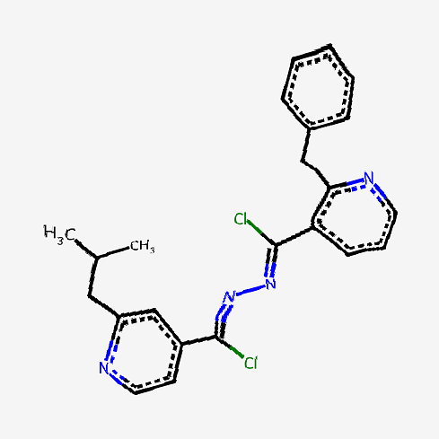 CC(C)Cc1cc(/C(Cl)=N/N=C(\Cl)c2cccnc2Cc2ccccc2)ccn1